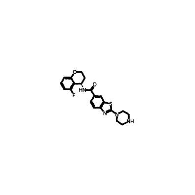 O=C(N[C@H]1CCOc2cccc(F)c21)c1ccc2nc(N3CCNCC3)sc2c1